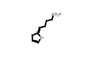 O=C(O)CCCC=C1CC=CO1